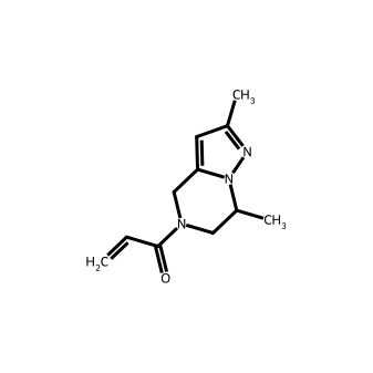 C=CC(=O)N1Cc2cc(C)nn2C(C)C1